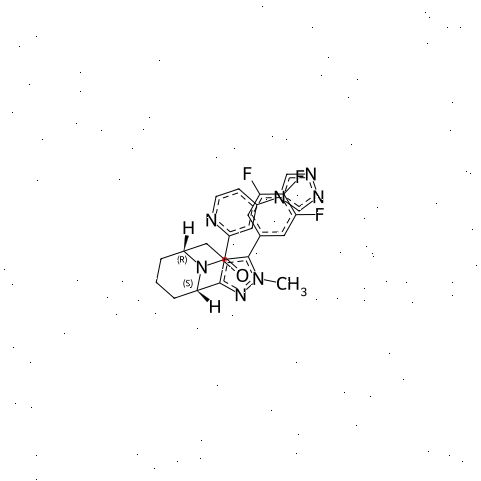 Cn1nc2c(c1-c1cc(F)c(F)c(F)c1)C[C@H]1CCC[C@@H]2N1C(=O)c1cc(-n2cnnc2)ccn1